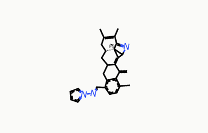 C=C1C2=C3C4N=C5C(C)=C(C)CC(CC2Cc2c(C=Nn6cccc6)ccc(C)c21)[C@@]534